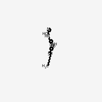 CCCCCCCCc1nc(-c2ccc(S(=O)(=O)Nc3ccc(CCNCC(O)c4cccnc4)cc3)cc2)cs1